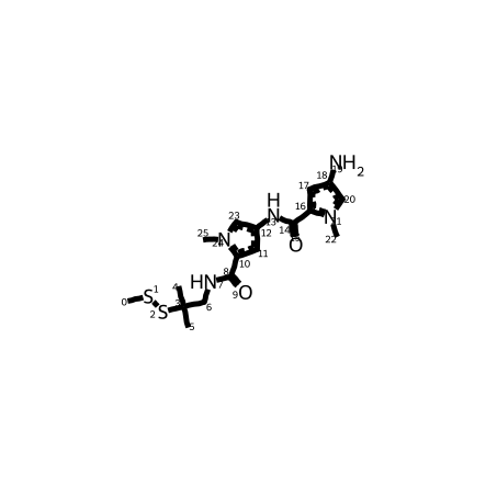 CSSC(C)(C)CNC(=O)c1cc(NC(=O)c2cc(N)cn2C)cn1C